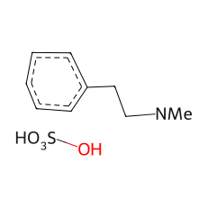 CNCCc1ccccc1.O=S(=O)(O)O